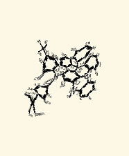 CN1c2ccccc2B2c3ccccc3C(c3ccccc3)(c3ccccc3)c3cc(N(c4ccc(C(C)(C)C)cc4)c4ccc(C(C)(C)C)cc4)cc1c32